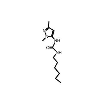 CCCCCCNC(=O)Nc1cc(C)nn1C